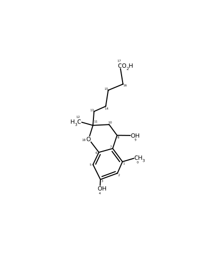 Cc1cc(O)cc2c1C(O)CC(C)(CCCCC(=O)O)O2